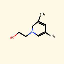 CC1=CN(CCO)CC(C)=C1